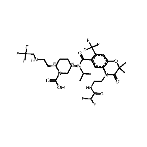 CC(C)N(C(=O)c1cc2c(cc1C(F)(F)F)OC(C)(C)C(=O)N2CCNC(=O)C(F)F)[C@@H]1CC[C@H](CCNCC(F)(F)F)N(C(=O)O)C1